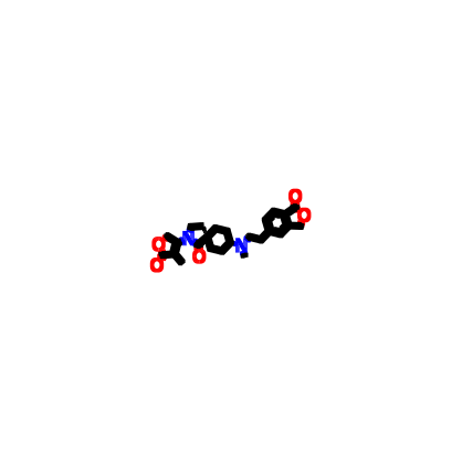 CC1=C(N2CC[C@]3(CC[C@H](N(C)CCc4ccc5c(c4)COC5=O)CC3)C2=O)COC1=O